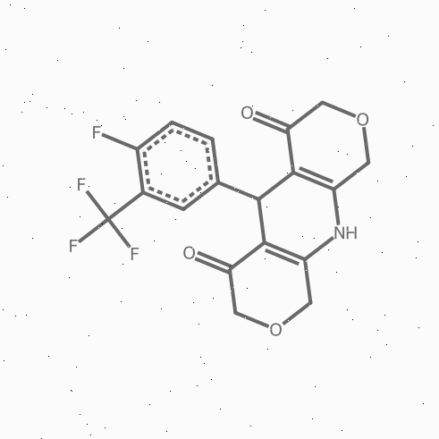 O=C1COCC2=C1C(c1ccc(F)c(C(F)(F)F)c1)C1=C(COCC1=O)N2